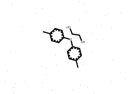 Cc1ccc(Oc2ccc(C)cc2)cc1.OCCO